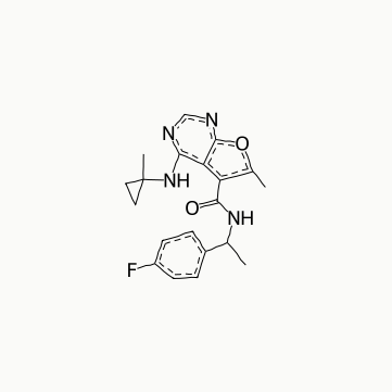 Cc1oc2ncnc(NC3(C)CC3)c2c1C(=O)NC(C)c1ccc(F)cc1